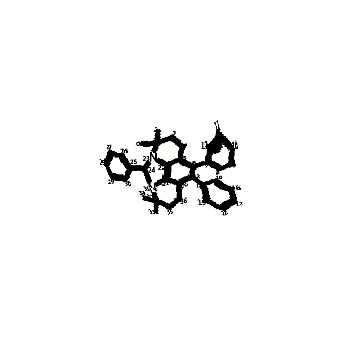 CC1(C)CCc2c(-c3ccccc3)c(-c3ccccc3)c3c4c2N1C(c1ccccc1)N4C(C)(C)CC3